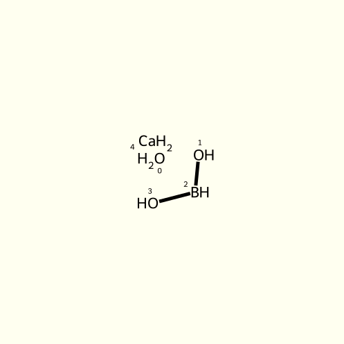 O.OBO.[CaH2]